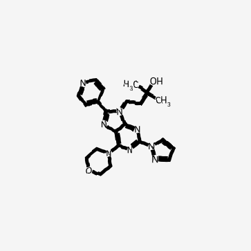 CC(C)(O)CCn1c(-c2ccncc2)nc2c(N3CCOCC3)nc(-n3cccn3)nc21